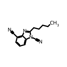 CCCCCc1nc2c(C#N)cccc2n1C#N